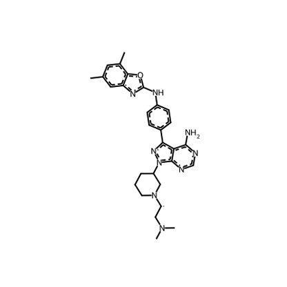 Cc1cc(C)c2oc(Nc3ccc(-c4nn(C5CCCN([CH]CN(C)C)C5)c5ncnc(N)c45)cc3)nc2c1